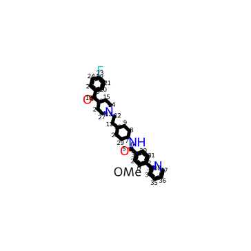 COc1cc(C(=O)NC2CCC(CCN3CCC(C(=O)c4ccc(F)cc4)CC3)CC2)ccc1-c1ccccn1